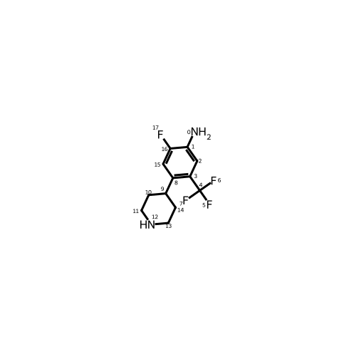 Nc1cc(C(F)(F)F)c(C2CCNCC2)cc1F